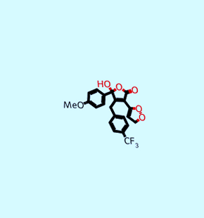 COc1ccc(C2(O)OC(=O)C(C3=CCOO3)=C2Cc2ccc(C(F)(F)F)cc2)cc1